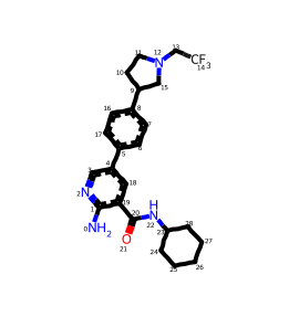 Nc1ncc(-c2ccc(C3CCN(CC(F)(F)F)C3)cc2)cc1C(=O)NC1CCCCC1